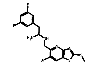 CSc1nc2nc(CNC(N)Cc3cc(F)cc(F)c3)c(Br)cc2s1